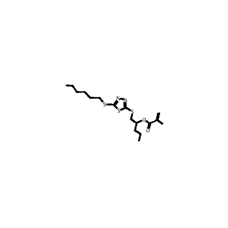 C=C(C)C(=O)OC(CCC)CSc1nnc(SCCCCCC)s1